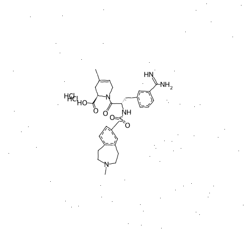 CC1=CCN(C(=O)[C@H](Cc2cccc(C(=N)N)c2)NS(=O)(=O)c2ccc3c(c2)CCN(C)CC3)[C@@H](C(=O)O)C1.Cl.Cl